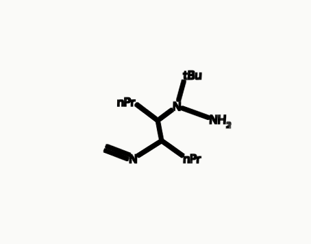 C=NC(CCC)C(CCC)N(N)C(C)(C)C